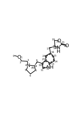 COCCN1CCC[C@@H]1Cc1c[nH]c2ccc(C[C@H]3COC(=O)N3)cc12